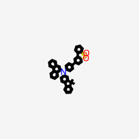 CC1(C)c2ccccc2-c2ccc(N(c3ccc(-c4ccc5c(c4)-c4ccccc4S5(=O)=O)cc3)c3cc4ccccc4c4ccccc34)cc21